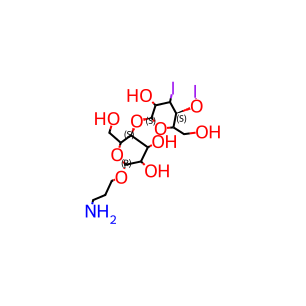 NCCCO[C@@H]1OC(CO)[C@@H](O[C@@H]2OC(CO)[C@H](OI)C(I)C2O)C(O)C1O